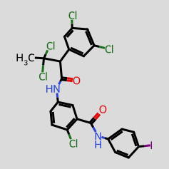 CC(Cl)(Cl)C(C(=O)Nc1ccc(Cl)c(C(=O)Nc2ccc(I)cc2)c1)c1cc(Cl)cc(Cl)c1